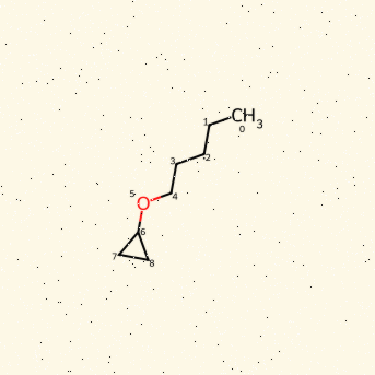 CC[CH]CCOC1CC1